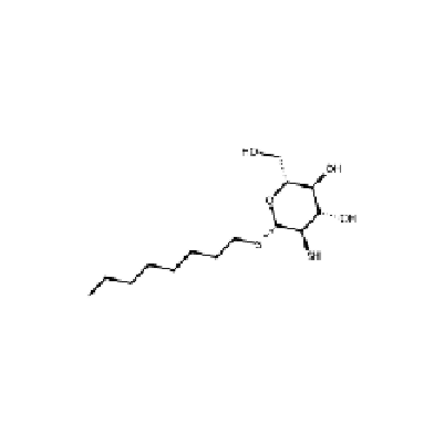 CCCCCCCCS[C@@H]1O[C@H](CO)[C@@H](O)[C@H](O)[C@H]1S